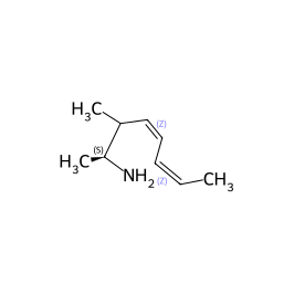 C/C=C\C=C/C(C)[C@H](C)N